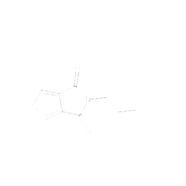 CCCCN1C(=O)c2cscc2C1=O